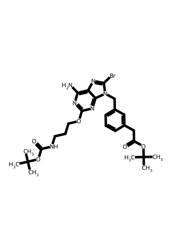 CC(C)(C)OC(=O)Cc1cccc(Cn2c(Br)nc3c(N)nc(OCCCNC(=O)OC(C)(C)C)nc32)c1